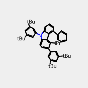 CC(C)c1c(-c2cc(C(C)(C)C)cc(C(C)(C)C)c2)ccc2c1c1c(-c3ccccc3)cccc1n2-c1cc(C(C)(C)C)cc(C(C)(C)C)c1